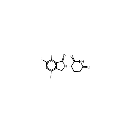 O=C1CC[C@H](N2Cc3c(F)cc(F)c(I)c3C2=O)C(=O)N1